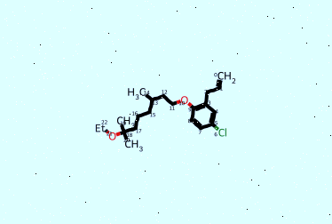 C=CCc1cc(Cl)ccc1OCCC(C)CCCC(C)(C)OCC